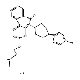 CNCCOC(=O)OC1=C([C@H]2CC[C@H](c3ccc(Cl)cc3)CC2)C(=O)c2ccccc2C1=O.Cl